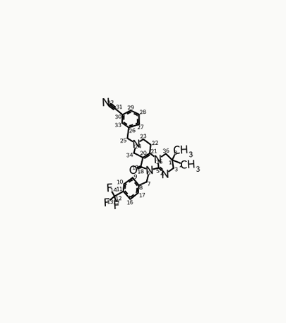 CC1(C)CN=C2N(Cc3ccc(C(F)(F)F)cc3)C(=O)C3=C(CCN(Cc4cccc(C#N)c4)C3)N2C1